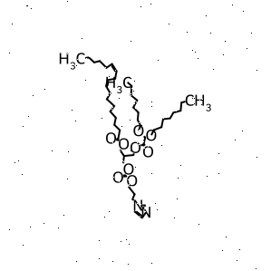 CCCCC/C=C\C/C=C\CCCCCCCC(=O)OCC(COC(=O)OCCCn1ccnc1)COC(=O)C(OCCCCCCCC)OCCCCCCCC